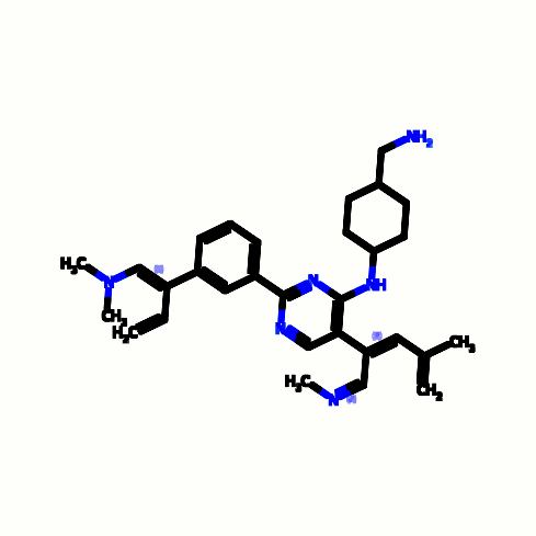 C=C/C(=C\N(C)C)c1cccc(-c2ncc(C(/C=N\C)=C/C(=C)C)c(NC3CCC(CN)CC3)n2)c1